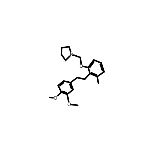 COc1ccc(CCc2c(C)cccc2OCN2CCCC2)cc1OC